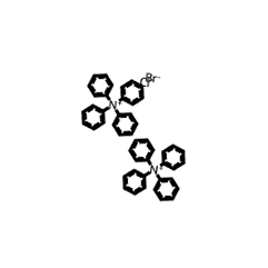 [Br-].[Cl-].c1ccc([N+](c2ccccc2)(c2ccccc2)c2ccccc2)cc1.c1ccc([N+](c2ccccc2)(c2ccccc2)c2ccccc2)cc1